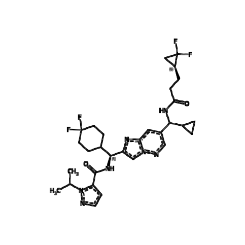 CC(C)n1nccc1C(=O)N[C@H](c1cn2ncc(C(NC(=O)CC[C@H]3CC3(F)F)C3CC3)cc2n1)C1CCC(F)(F)CC1